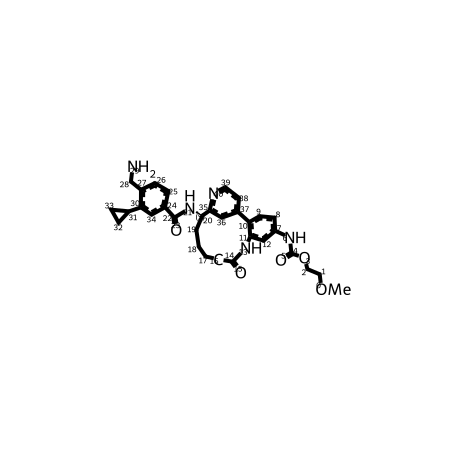 COCCOC(=O)Nc1ccc2c(c1)NC(=O)CCCC[C@H](NC(=O)c1ccc(CN)c(C3CC3)c1)c1cc-2ccn1